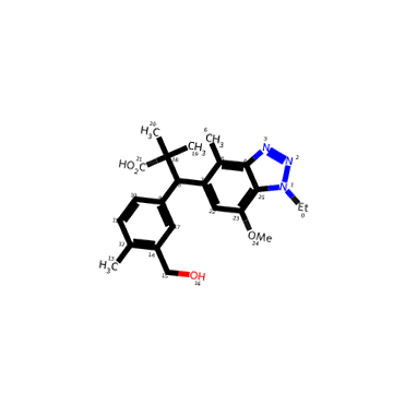 CCn1nnc2c(C)c(C(c3ccc(C)c(CO)c3)C(C)(C)C(=O)O)cc(OC)c21